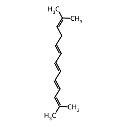 CC(C)=CC=CC=CC=CCC=C(C)C